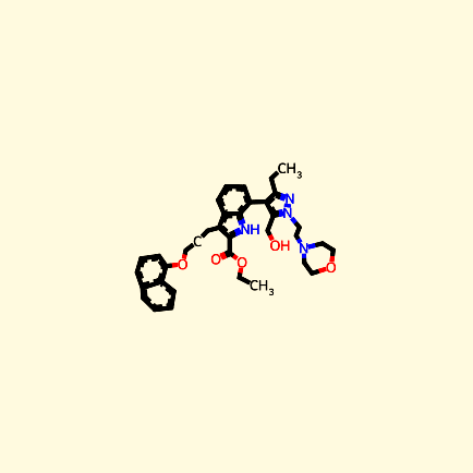 CCOC(=O)c1[nH]c2c(-c3c(CC)nn(CCN4CCOCC4)c3CO)cccc2c1CCCOc1cccc2ccccc12